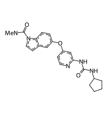 CNC(=O)n1ccc2cc(Oc3ccnc(NC(=O)NC4CCCC4)c3)ccc21